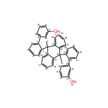 CC1(c2ccccc2-c2cccc(O)c2)c2ccccc2C(C)(c2ccccc2-c2cccc(O)c2)c2ccccc21